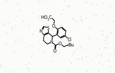 CCC(C)COC(=O)N1CCc2ncsc2C1c1cc(Cl)ccc1OCC(=O)O